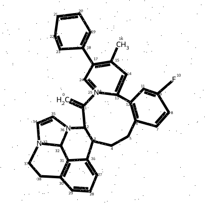 C=C1C2C(CCc3ccc(F)cc3-c3cc(C)c(-c4ccccc4)c[n+]31)c1cccc3c1C1N(C=CN21)CC3